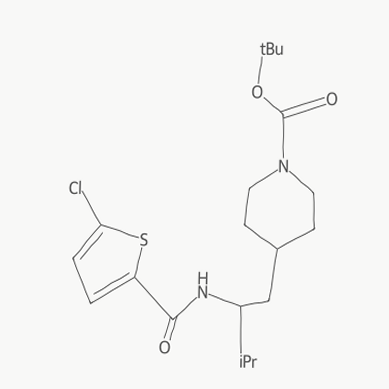 CC(C)C(CC1CCN(C(=O)OC(C)(C)C)CC1)NC(=O)c1ccc(Cl)s1